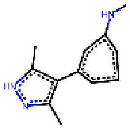 CNc1cccc(-c2c(C)n[nH]c2C)c1